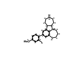 COc1ccc(-c2cc3c4c(c2)C2CCNCCC2N4CCCS3)c(C)c1